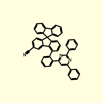 N#Cc1ccc2c(c1)-c1c(-c3ccccc3-c3cc(-c4ccccc4)nc(-c4ccccc4)n3)cccc1C21c2ccccc2-c2ccccc21